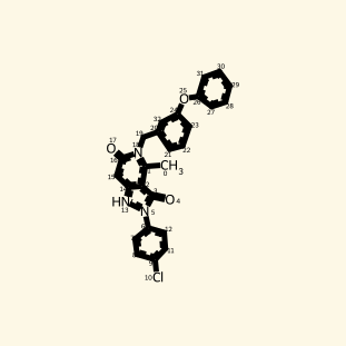 Cc1c2c(=O)n(-c3ccc(Cl)cc3)[nH]c2cc(=O)n1Cc1cccc(Oc2ccccc2)c1